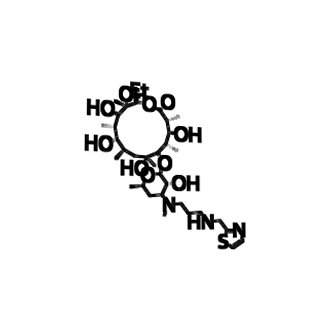 CC[C@H]1OC(=O)[C@H](C)[C@@H](O)[C@H](C)[C@@H](O[C@@H]2O[C@H](C)CC(N(C)CCCNCc3nccs3)[C@H]2O)C(C)(O)C[C@@H](C)[C@H](O)[C@H](C)[C@@H](O)[C@]1(C)O